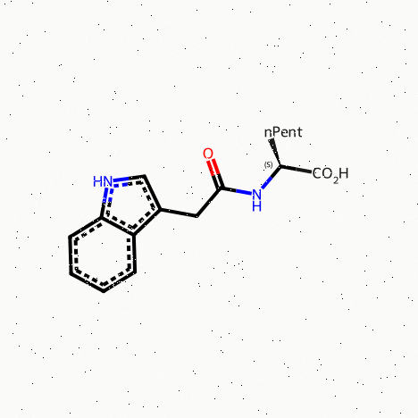 CCCCC[C@H](NC(=O)Cc1c[nH]c2ccccc12)C(=O)O